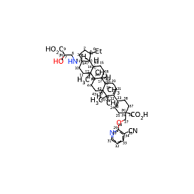 CC[C@@H]1CC[C@]2(NC[C@@H](O)C(=O)O)CC[C@]3(C)[C@H](CC[C@@H]4[C@@]5(C)CC=C(C6=CC[C@](COc7ncccc7C#N)(C(=O)O)CC6)C(C)(C)[C@@H]5CC[C@]43C)[C@@H]12